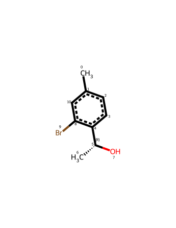 Cc1ccc([C@@H](C)O)c(Br)c1